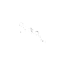 C=C(Oc1cccc(N2CCN(C)CC2)c1)/C(CC)=C(\C=C/N)C(C)N1C(=O)c2ccccc2C1=O